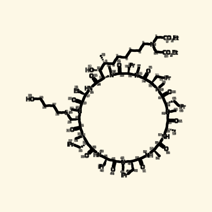 CCOC(=O)CN(CCCCCC[C@@H](C)[C@@H](O)[C@H]1C(=O)N[C@H](CC)C(=O)N(C)[C@H](CSCCCCO)C(=O)N(C)[C@@H](CC(C)C)C(=O)N[C@H](C(C)C)C(=O)N(C)[C@H](CC(C)C)C(=O)N[C@H](C)C(=O)N[C@@H](C)C(=O)N(C)[C@@H](CC(C)C)C(=O)N(C)[C@H](CC(C)C)C(=O)N(C)[C@H](C(C)C)C(=O)N1C)CC(=O)OCC